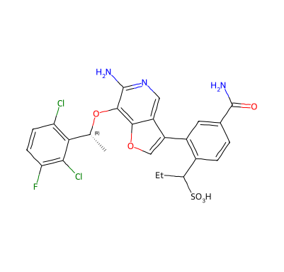 CCC(c1ccc(C(N)=O)cc1-c1coc2c(O[C@H](C)c3c(Cl)ccc(F)c3Cl)c(N)ncc12)S(=O)(=O)O